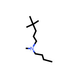 CCCCN(C)CCCC(C)(C)C